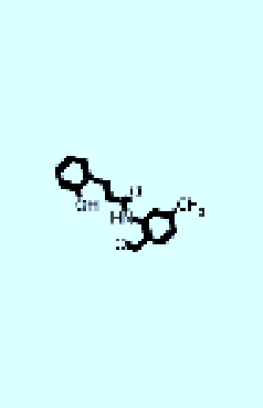 Cc1ccc(C=O)c(NC(=O)/C=C/c2ccccc2O)c1